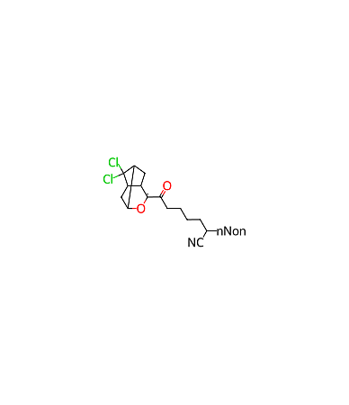 [CH2]CCCCCCCCC(C#N)CCCCC(=O)[C]1OC2CC3C1CC2C3(Cl)Cl